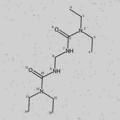 CCN(CC)C(=O)NCNC(=O)N(CC)CC